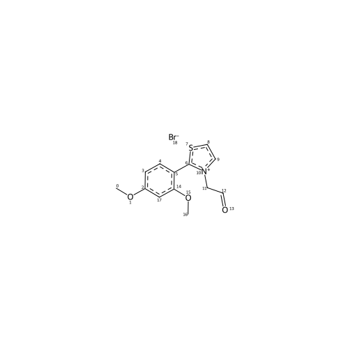 COc1ccc(-c2scc[n+]2CC=O)c(OC)c1.[Br-]